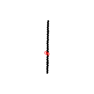 CCCCCCCCCCCCCCCCCCCCCCCCCCCCC(=O)OCCCCCCCCCCCCCCCCC